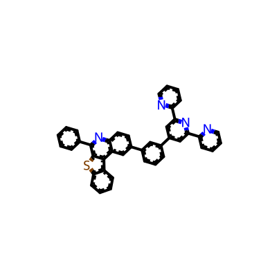 c1ccc(-c2nc3ccc(-c4cccc(-c5cc(-c6ccccn6)nc(-c6ccccn6)c5)c4)cc3c3c2sc2ccccc23)cc1